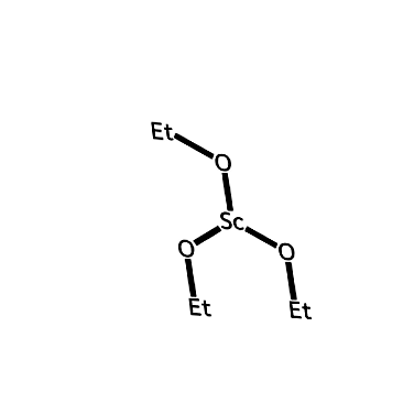 CC[O][Sc]([O]CC)[O]CC